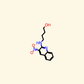 O=[N+]([O-])c1cc2ccccc2nc1NCCCCO